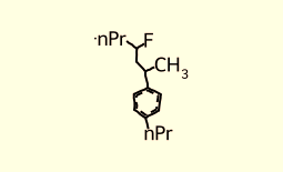 CC[CH]C(F)CC(C)c1ccc(CCC)cc1